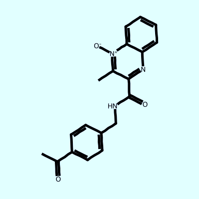 CC(=O)c1ccc(CNC(=O)c2nc3ccccc3[n+]([O-])c2C)cc1